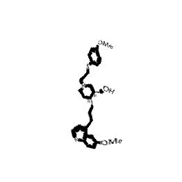 COc1ccc(SCCN2CC[C@@H](CCCc3ccnc4ccc(OC)cc34)[C@@H](CO)C2)cc1